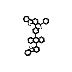 c1ccc(-c2nc3cc(-c4c5ccccc5c(-c5cccc6c5oc5ccccc56)c5ccccc45)ccc3c3c2ccc2c4ccccc4oc23)cc1